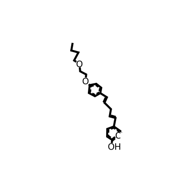 CCCCOCCOc1ccc(C=CCC=Cc2ccc(O)cc2)cc1